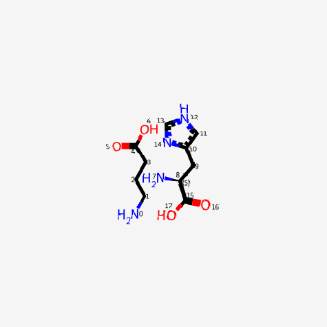 NCCCC(=O)O.N[C@@H](Cc1c[nH]cn1)C(=O)O